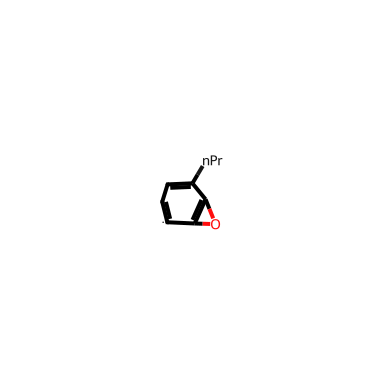 CCCc1cc[c]c2c1O2